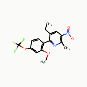 CCc1cc([N+](=O)[O-])c(C)nc1-c1ccc(OC(F)(F)F)cc1OC